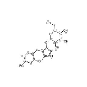 Cc1[nH]nc(O[C@@H]2O[C@H](CO)[C@@H](O)[C@H](O)[C@H]2O)c1Cc1ccc(C(C)C)cc1